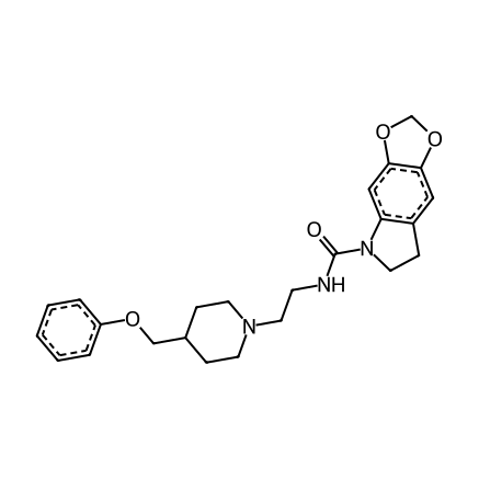 O=C(NCCN1CCC(COc2ccccc2)CC1)N1CCc2cc3c(cc21)OCO3